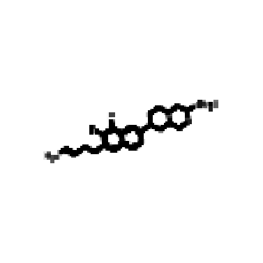 CC=CCCc1cc2ccc(C3CCC4CC(CCCCCCC)CCC4C3)cc2c(F)c1F